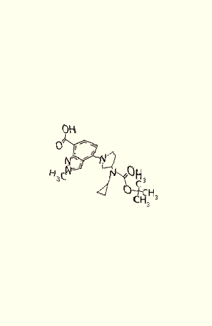 Cn1cc2c(N3CCC(N(C(=O)OC(C)(C)C)C4CC4)C3)ccc(C(=O)O)c2n1